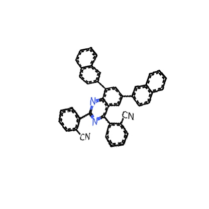 N#Cc1ccccc1-c1nc(-c2ccccc2C#N)c2cc(-c3ccc4ccccc4c3)cc(-c3ccc4ccccc4c3)c2n1